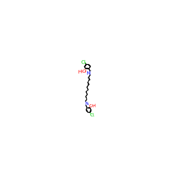 Oc1cc(Cl)ccc1/C=N/CCCCCCCCCCCC/N=C/c1ccc(Cl)cc1O